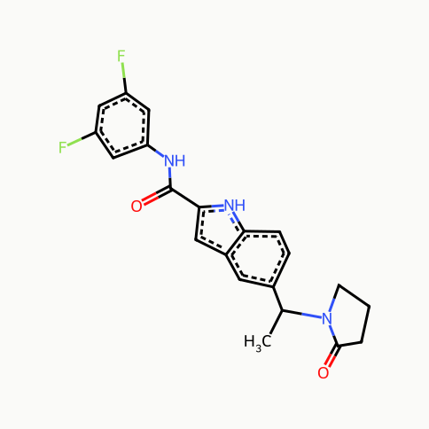 CC(c1ccc2[nH]c(C(=O)Nc3cc(F)cc(F)c3)cc2c1)N1CCCC1=O